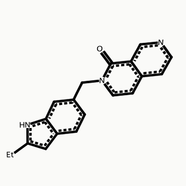 CCc1cc2ccc(Cn3ccc4ccncc4c3=O)cc2[nH]1